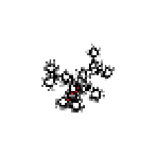 c1ccc(-c2cc(-c3ccc(-n4c5ccc(-n6c7ccccc7c7ccccc76)cc5c5cc(-n6c7ccccc7c7ccccc76)ccc54)c(-c4nc(-c5ccccc5)cc(-c5ccccc5)n4)c3)nc(-c3ccccc3)n2)cc1